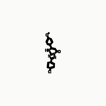 COc1ccc(-c2cc(=O)n3nc(-c4ccc(Cl)cc4)nc3[nH]2)cc1